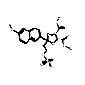 COC(=O)[C@@H]1OC(CCOS(C)(=O)=O)(c2ccc3cc(OC)ccc3c2)O[C@H]1C(=O)OC